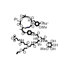 C=CCOC(=O)CCN(CCC(=O)N[C@H](C(=O)N[C@@H](CCC(=O)NC[C@H]1O[C@@H](OC)[C@H](O)[C@@H](O)[C@@H]1O)C(=O)NCc1ccc([C@H]2O[C@@H]2[C@@H](C)[C@@H]2C/C=C/C(=O)N[C@H](Cc3ccc(OC)c(Cl)c3)C(=O)NCC(C)(C)C(=O)O[C@@H](CC(C)C)C(=O)O2)cc1)C(C)C)C(=O)CCC(=O)NCCS(=O)(=O)[O-].[Na+]